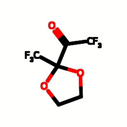 O=C(C(F)(F)F)C1(C(F)(F)F)OCCO1